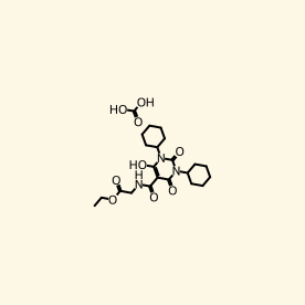 CCOC(=O)CNC(=O)c1c(O)n(C2CCCCC2)c(=O)n(C2CCCCC2)c1=O.O=C(O)O